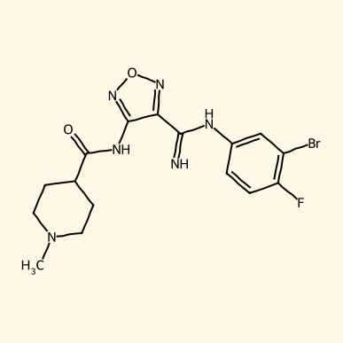 CN1CCC(C(=O)Nc2nonc2C(=N)Nc2ccc(F)c(Br)c2)CC1